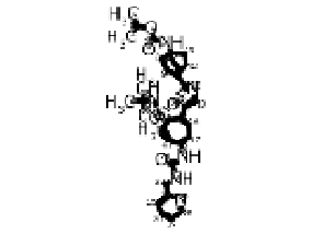 CC(C)OC(=O)NC12CCC(c3ncc(C4=CC=C(NC(=O)NCc5ccccn5)C#CC4S(=O)(=O)NC(C)(C)C)s3)(CC1)CC2